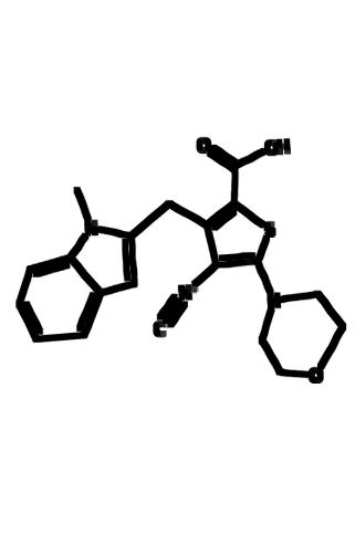 [C-]#[N+]c1c(N2CCOCC2)sc(C(=O)O)c1Cc1cc2ccccc2n1C